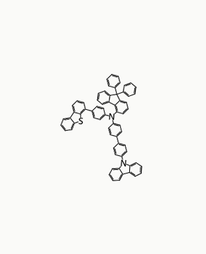 c1ccc(C2(c3ccccc3)c3ccccc3-c3c(N(c4ccc(-c5ccc(-n6c7ccccc7c7ccccc76)cc5)cc4)c4ccc(-c5cccc6c5sc5ccccc56)cc4)cccc32)cc1